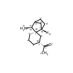 CC(=O)[C@@H]1CCC[C@@]2(C1)[C@H]1CCC(C1)[C@@H]2N